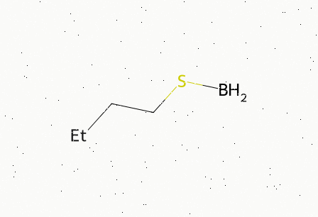 BSCCCC